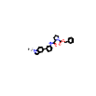 Cn1ccc2cc(-c3cccc(NC(=O)C4CCCN4C(=O)OCc4ccccc4)c3)ccc21